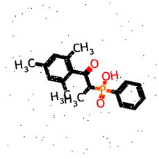 Cc1cc(C)c(C(=O)C(C)P(=O)(O)c2ccccc2)c(C)c1